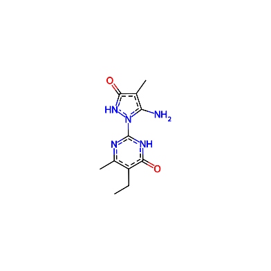 CCc1c(C)nc(-n2[nH]c(=O)c(C)c2N)[nH]c1=O